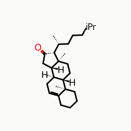 CC(C)CCC[C@@H](C)[C@H]1C(=O)C[C@H]2[C@@H]3CC=C4CCCC[C@]4(C)[C@H]3CC[C@]12C